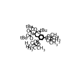 CC(C)(C)OC(=O)C(Cc1ccc(B2OC(C)(C)C(C)(C)O2)cc1B1OC(C)(C)C(C)(C)O1)N(C(=O)OC(C)(C)C)C(=O)OC(C)(C)C